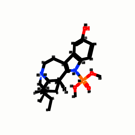 CC[C@@H](C)C1[C@H]2C[C@H](C)C[N@]1CCc1c2n(P(=O)(OC)OC)c2ccc(O)cc12